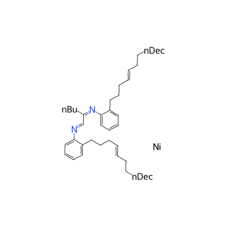 CCCCCCCCCCCC/C=C/CCCc1ccccc1/N=C(\C=N\c1ccccc1CCC/C=C/CCCCCCCCCCCC)CCCC.[Ni]